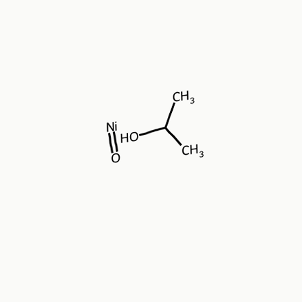 CC(C)O.[O]=[Ni]